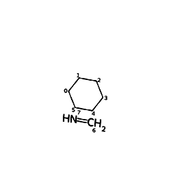 C1CCCCC1.C=N